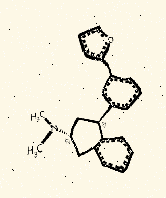 CN(C)[C@H]1Cc2ccccc2[C@H](c2cccc(-c3ccco3)c2)C1